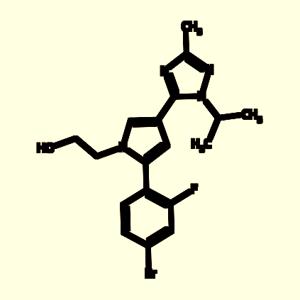 Cc1nc(-c2cc(-c3ccc(Br)cc3F)n(CCO)c2)n(C(C)C)n1